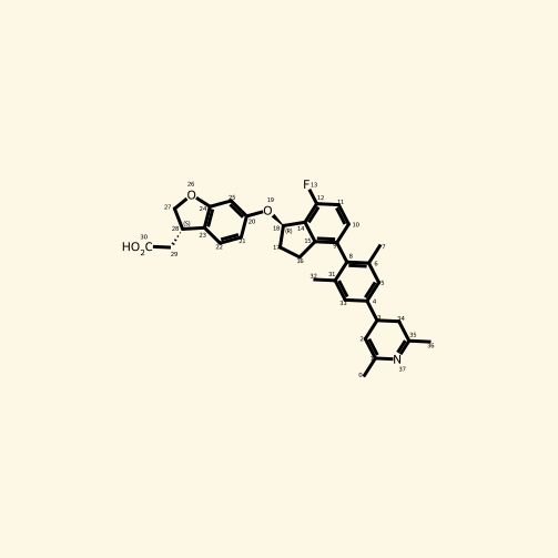 CC1=CC(c2cc(C)c(-c3ccc(F)c4c3CC[C@H]4Oc3ccc4c(c3)OC[C@H]4CC(=O)O)c(C)c2)CC(C)=N1